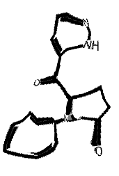 O=C(c1ccn[nH]1)C1CCC(=O)N1c1ccccc1